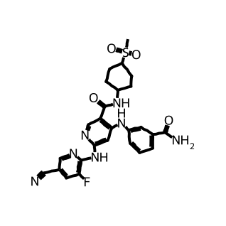 CS(=O)(=O)C1CCC(NC(=O)c2cnc(Nc3ncc(C#N)cc3F)cc2Nc2cccc(C(N)=O)c2)CC1